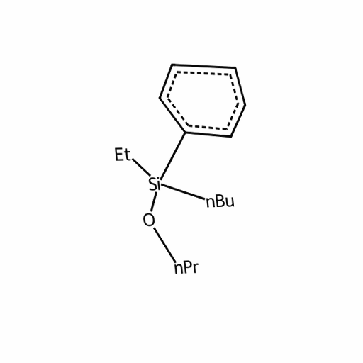 CCCC[Si](CC)(OCCC)c1ccccc1